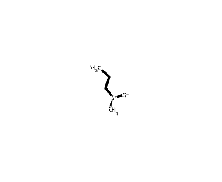 CCC[S@+](C)[O-]